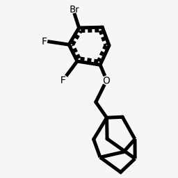 Fc1c(Br)ccc(OCC23CC4CC(C2)C(C4)C3)c1F